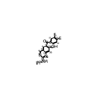 CC(C)Nc1ncc2cc(C(=O)c3ccc(F)c(F)c3)c(O)cc2n1